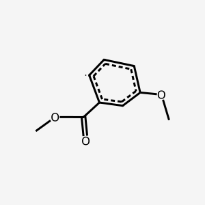 COC(=O)c1[c]ccc(OC)c1